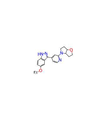 CCOc1ccc2[nH]nc(-c3ccnc(N4CCC5OCCC54)c3)c2c1